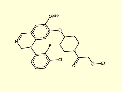 CCOCC(=O)N1CCC(Oc2cc3c(cc2OC)C=NCN3c2cccc(Cl)c2F)CC1